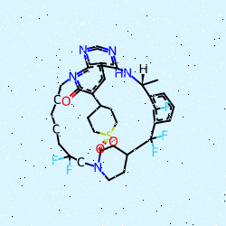 C[C@H]1Nc2ncnc3c2cc(C2CCS(=O)(=O)CC2)c(=O)n3CCCCCC(F)(F)CN2CCC(CC2)C(F)(F)c2cccc1c2F